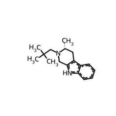 C[C@@H]1Cc2c([nH]c3ccccc23)CN1CC(C)(C)C